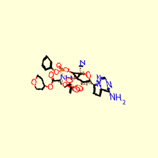 CC(=O)O[C@H]1[C@H](c2ccc3c(N)ncnn23)O[C@]2(C#N)C(O[P@](=O)(N[C@@H](C)C(=O)OC3CCOCC3)Oc3ccccc3)[C@]12OC(C)=O